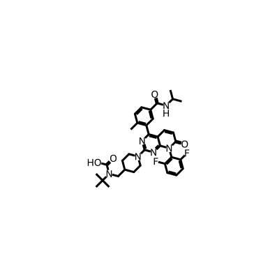 Cc1ccc(C(=O)NC(C)C)cc1-c1nc(N2CCC(CN(C(=O)O)C(C)(C)C)CC2)nc2c1ccc(=O)n2-c1c(F)cccc1F